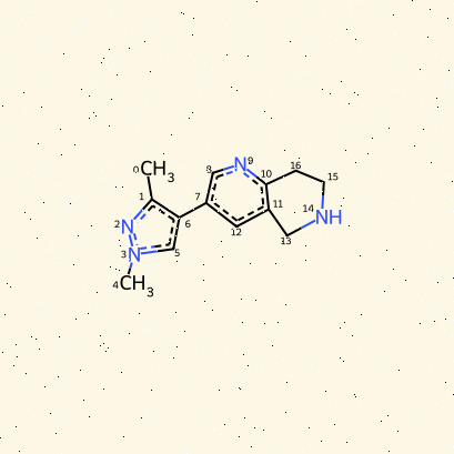 Cc1nn(C)cc1-c1cnc2c(c1)CNCC2